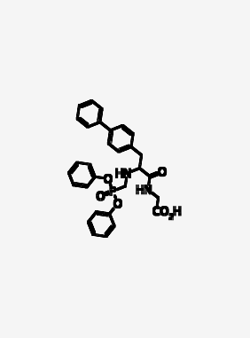 O=C(O)CNC(=O)C(Cc1ccc(-c2ccccc2)cc1)NCP(=O)(Oc1ccccc1)Oc1ccccc1